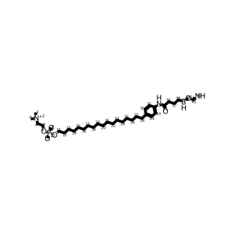 C[N+](C)(C)CCOP(=O)([O-])OCCCCCCCCCCCCCCCCCCc1ccc(NC(=O)CCCBOC=N)cc1